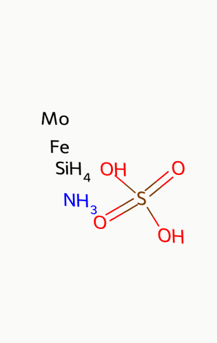 N.O=S(=O)(O)O.[Fe].[Mo].[SiH4]